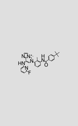 Cc1c(NC(=O)c2ccc(C(C)(C)C)cc2)cccc1N1C=C(Nc2cccc(F)n2)C2=NC=C[N+]2C1